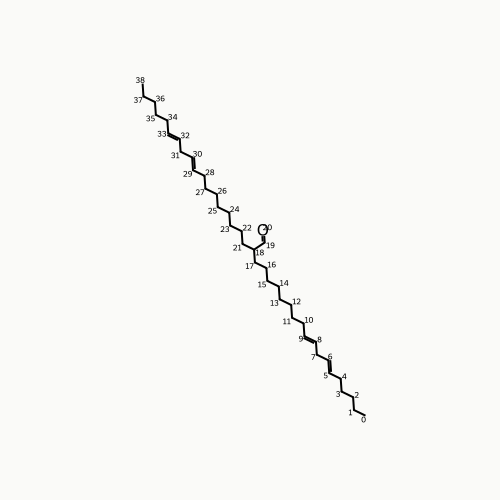 CCCCCC=CCC=CCCCCCCCCC(C=O)CCCCCCCCC=CCC=CCCCCC